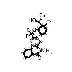 C[C@@H](O)c1c(F)ccc2c1OC(F)(F)C(=O)N2Cc1nc2ccccc2c(=O)n1C